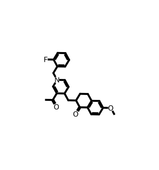 COc1ccc2c(c1)CCC(CC1C=CN(Cc3ccccc3F)C=C1C(C)=O)C2=O